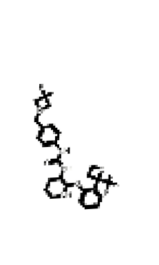 O=C(Nc1ccc(CN2CC(F)(F)C2)cc1)NC1CCCNC1Oc1ccccc1C1(C(F)(F)F)CCO1